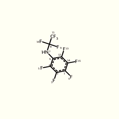 Fc1c(F)c(F)c(NC(F)(F)C(F)(F)F)c(F)c1F